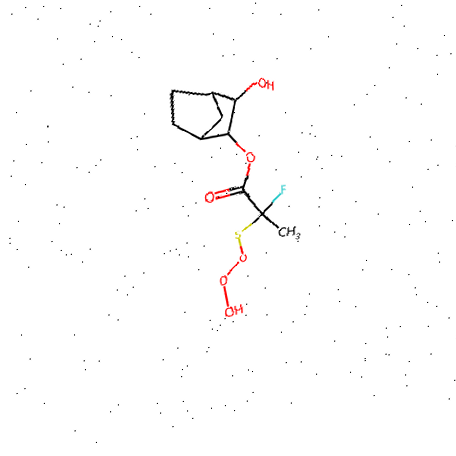 CC(F)(SOOO)C(=O)OC1C2CCC(C2)C1O